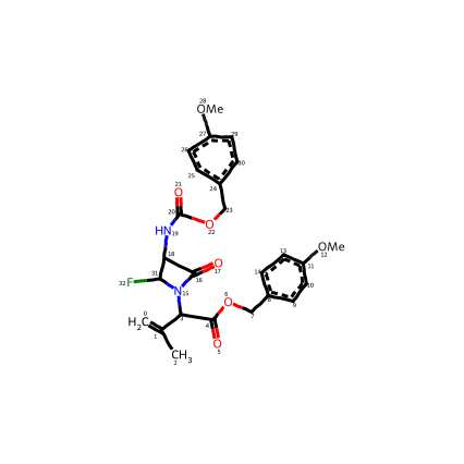 C=C(C)C(C(=O)OCc1ccc(OC)cc1)N1C(=O)C(NC(=O)OCc2ccc(OC)cc2)C1F